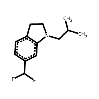 C[C](C)CN1CCc2ccc(C(F)F)cc21